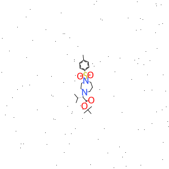 Cc1ccc(S(=O)(=O)N2CCCN([C@H](C(=O)OC(C)(C)C)C(C)C)CC2)cc1